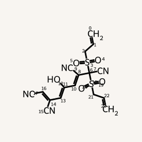 C=CCS(=O)(=O)C(C#N)(C(C#N)=CC(O)=CC(C#N)=CC#N)S(=O)(=O)CC=C